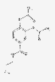 CCCNC(=O)c1ccc(OC(C)=O)c(OC(C)=O)c1